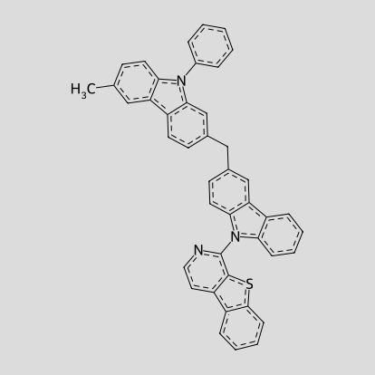 Cc1ccc2c(c1)c1ccc(Cc3ccc4c(c3)c3ccccc3n4-c3nccc4c3sc3ccccc34)cc1n2-c1ccccc1